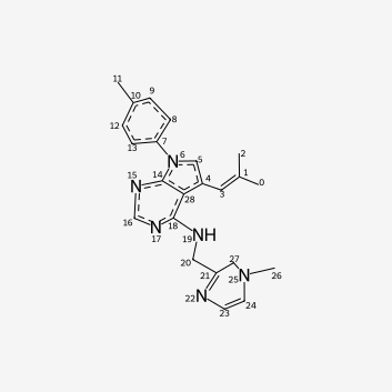 CC(C)=Cc1cn(-c2ccc(C)cc2)c2ncnc(NCC3=NC=CN(C)C3)c12